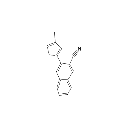 CC1=CCC(c2cc3ccccc3cc2C#N)=C1